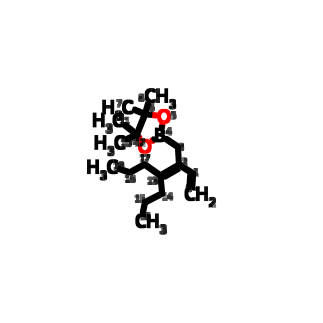 C=CC(CB1OC(C)(C)C(C)(C)O1)=C(CCC)CCC